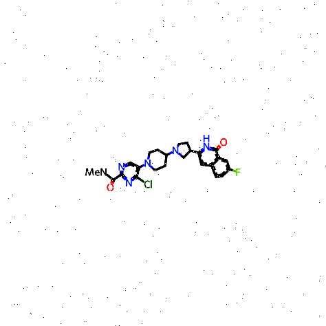 CNC(=O)c1ncc(N2CCC(N3CCC(c4cc5ccc(F)cc5c(=O)[nH]4)C3)CC2)c(Cl)n1